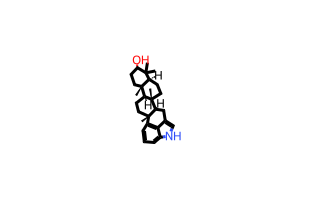 CC1(C)[C@H](O)CC[C@@]2(C)[C@@H]3CC[C@@]4(C)c5cccc6[nH]cc(c56)C[C@@H]4[C@@]3(C)CC[C@H]12